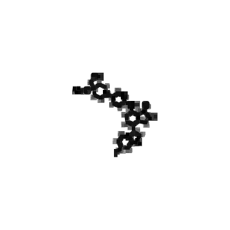 COC1(CO)CCN(c2ccc(Nc3ccc(-c4cnc5cc(F)ccn45)c4c3C(=O)NC4)nc2)CC1